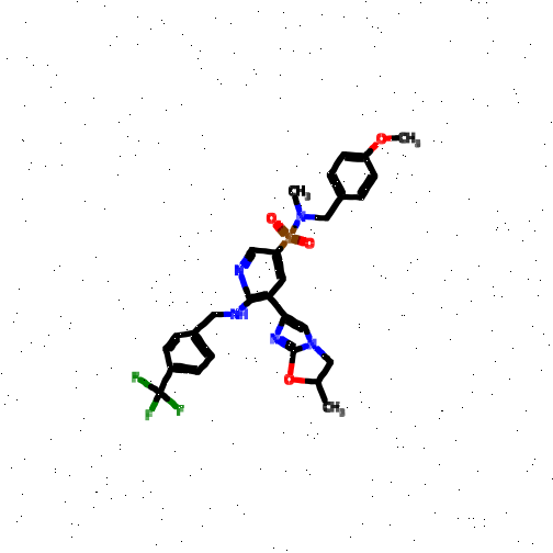 COc1ccc(CN(C)S(=O)(=O)c2cnc(NCc3ccc(C(F)(F)F)cc3)c(-c3cn4c(n3)OC(C)C4)c2)cc1